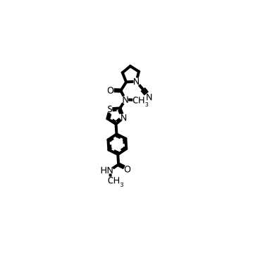 CNC(=O)c1ccc(-c2csc(N(C)C(=O)C3CCCN3C#N)n2)cc1